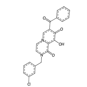 O=C(c1ccccc1)c1cn2ccn(Cc3cccc(Cl)c3)c(=O)c2c(O)c1=O